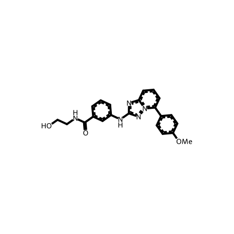 COc1ccc(-c2cccc3nc(Nc4cccc(C(=O)NCCO)c4)nn23)cc1